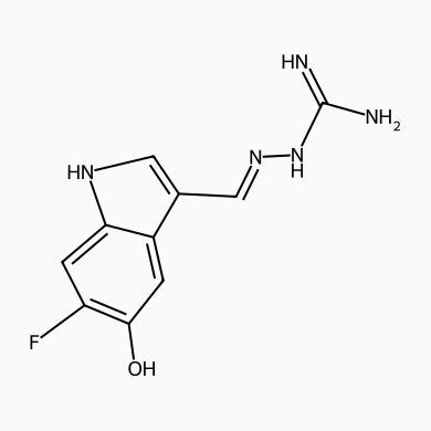 N=C(N)NN=Cc1c[nH]c2cc(F)c(O)cc12